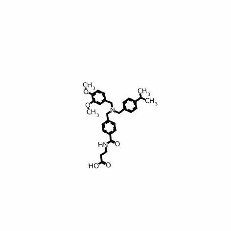 COc1ccc(CN(Cc2ccc(C(=O)NCCC(=O)O)cc2)Cc2ccc(C(C)C)cc2)cc1OC